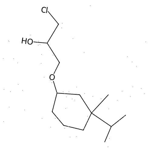 CC(C)C1(C)CCCC(OCC(O)CCl)C1